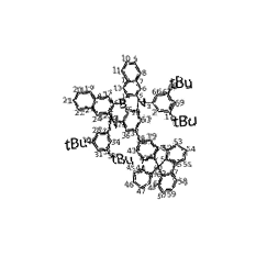 CC(C)(C)c1cc(N2c3cc4ccccc4cc3B3c4cc5ccccc5cc4N(c4cc(C(C)(C)C)cc(C(C)(C)C)c4)c4cc(-c5ccc6c(c5)-c5ccccc5C65c6ccccc6-c6ccccc65)cc2c43)cc(C(C)(C)C)c1